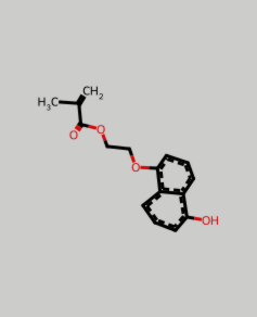 C=C(C)C(=O)OCCOc1cccc2c(O)cccc12